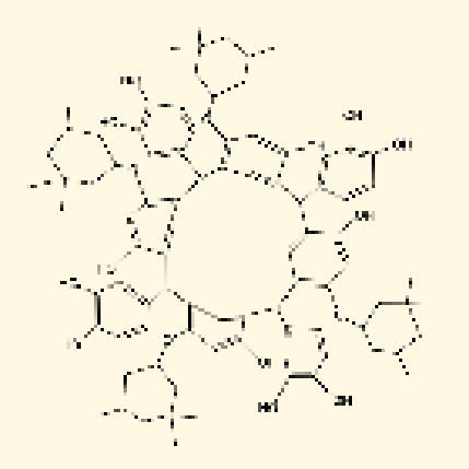 CC1CC(Oc2cc(O)c3cc2C(c2ccc(O)c(O)c2)c2cc(c(OC4CC(C)CC(C)(C)C4)cc2O)C(c2ccc(O)c(O)c2)c2cc(c(OC4CC(C)CC(C)(C)C4)cc2O)C(c2ccc(O)c(O)c2)c2cc(c(O)cc2OC2CC(C)CC(C)(C)C2)C3c2ccc(O)c(O)c2)CC(C)(C)C1